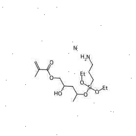 C=C(C)C(=O)OCC(O)CC(C)O[Si](CCCN)(OCC)OCC.[N]